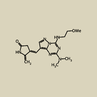 C=C1NC(=O)C/C1=C\c1cnn2c(NCCOC)nc(N(C)C)nc12